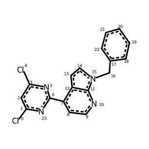 Clc1cc(Cl)nc(-c2ccnc3c2ccn3Cc2ccccc2)n1